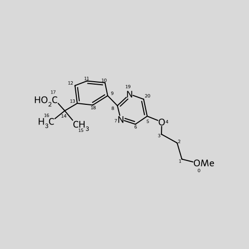 COCCCOc1cnc(-c2cccc(C(C)(C)C(=O)O)c2)nc1